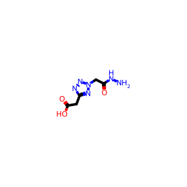 NNC(=O)Cn1nnc(CC(=O)O)n1